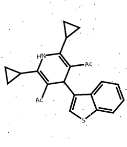 CC(=O)C1=C(C2CC2)NC(C2CC2)=C(C(C)=O)C1c1csc2ccccc12